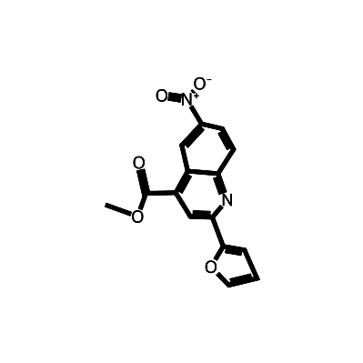 COC(=O)c1cc(-c2ccco2)nc2ccc([N+](=O)[O-])cc12